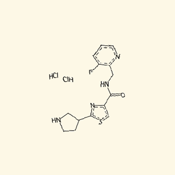 Cl.Cl.O=C(NCc1ncccc1F)c1csc(C2CCNC2)n1